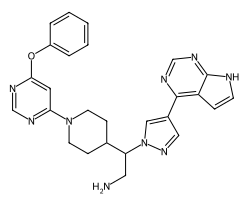 NCC(C1CCN(c2cc(Oc3ccccc3)ncn2)CC1)n1cc(-c2ncnc3[nH]ccc23)cn1